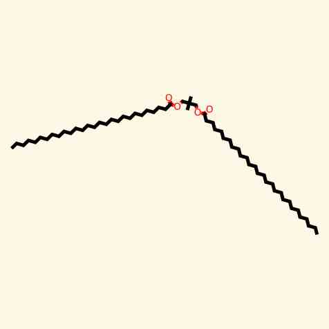 CCCCCCCCCCCCCCCCCCCCCCCCCCCC(=O)OCC(C)(C)COC(=O)CCCCCCCCCCCCCCCCCCCCCCCCCCC